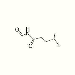 CC(C)CCC(=O)NC=O